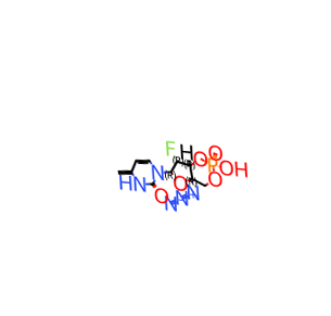 C=C1C=CN([C@@H]2O[C@]3(N=[N+]=[N-])COP(=O)(O)O[C@H]3[C@H]2F)C(=O)N1